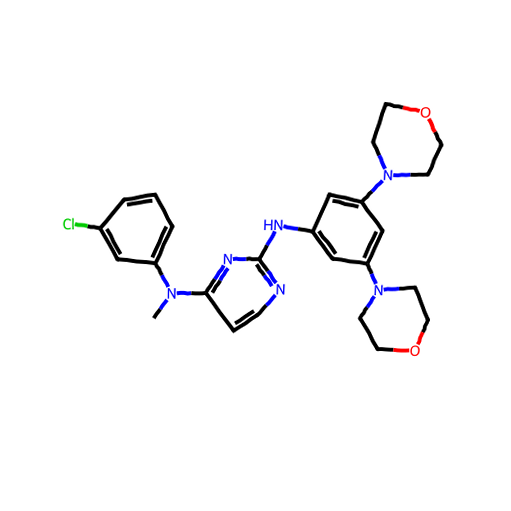 CN(c1cccc(Cl)c1)c1ccnc(Nc2cc(N3CCOCC3)cc(N3CCOCC3)c2)n1